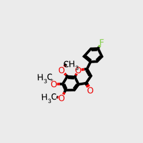 COc1cc2c(=O)cc(-c3ccc(F)cc3)oc2c(OC)c1OC